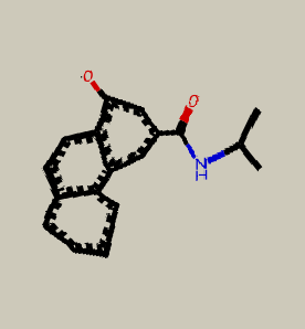 CC(C)NC(=O)c1cc([O])c2ccc3ccccc3c2c1